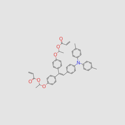 C=CC(=O)OC(C)Oc1ccc(C(=Cc2ccc(N(c3ccc(C)cc3)c3ccc(C)cc3)cc2)c2ccc(OC(C)OC(=O)C=C)cc2)cc1